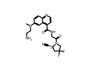 CN(CCN)c1ccc2nccc(C(=O)NCC(=O)N3CC(F)(F)C[C@H]3C#N)c2c1